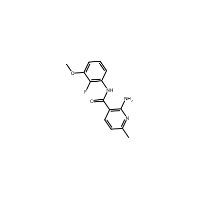 COc1cccc(NC(=O)c2ccc(C)nc2N)c1F